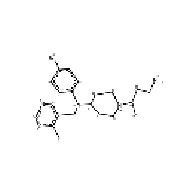 Cc1ccncc1CN(c1ccc(Br)cc1)C1CCN(C(C)CCN)CC1